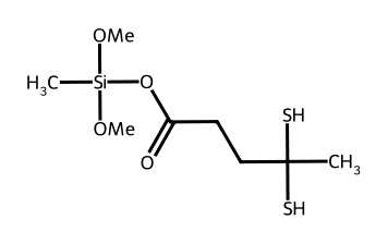 CO[Si](C)(OC)OC(=O)CCC(C)(S)S